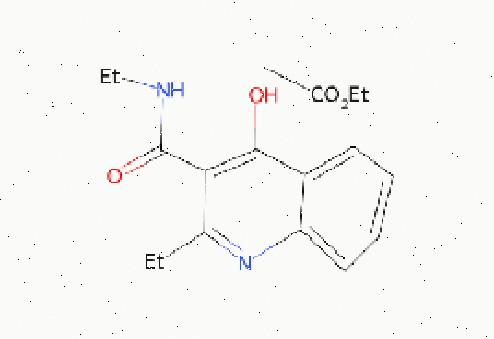 CCNC(=O)c1c(CC)nc2ccccc2c1O.CCOC(C)=O